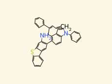 C=C/C=C(\Cc1c(-c2cc3c(cc2N)sc2ccccc23)ccc2c1ccn2-c1ccccc1)c1ccccc1